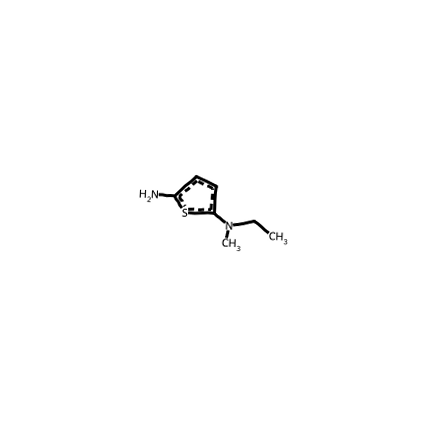 CCN(C)c1ccc(N)s1